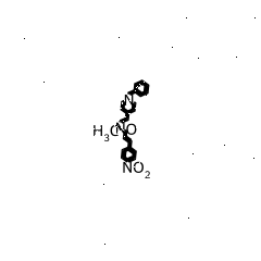 CN(CCC1CCN(Cc2ccccc2)CC1)C(=O)/C=C/c1ccc([N+](=O)[O-])cc1